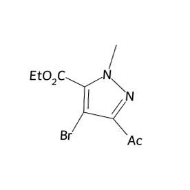 CCOC(=O)c1c(Br)c(C(C)=O)nn1C